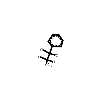 ClC(Cl)(Cl)C(Cl)(Cl)C(Cl)(Cl)c1cc[c]cc1